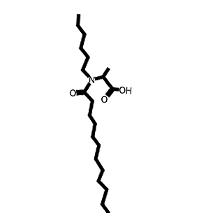 CCCCCCCCCCCC(=O)N(CCCCCC)C(C)C(=O)O